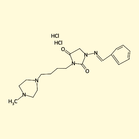 CN1CCN(CCCCN2C(=O)CN(N=Cc3ccccc3)C2=O)CC1.Cl.Cl